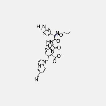 CCCO/N=C(\C(=O)N[C@@H]1C(=O)N2C(C(=O)[O-])=C(Cn3cc[n+]4cc(C#N)ccc34)CS[C@@H]12)c1csc(N)n1